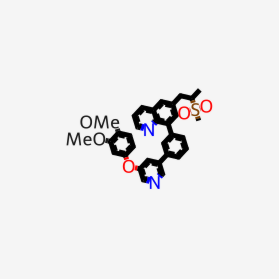 COc1ccc(Oc2cncc(-c3cccc(-c4cc(CC(C)S(C)(=O)=O)cc5cccnc45)c3)c2)cc1OC